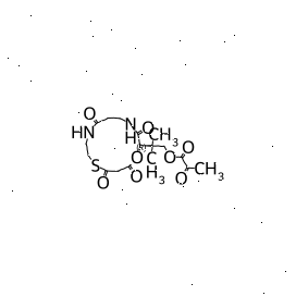 CC(=O)C(=O)OCC(C)(C)[C@H]1OC(=O)CC(=O)SCCNC(=O)CCNC1=O